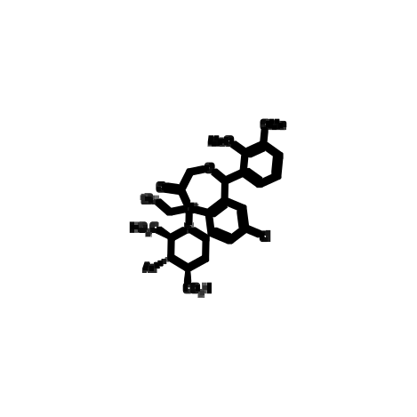 COc1cccc(C2OCC(=O)[N+](CC(C)(C)C)(N3CC[C@@H](C(=O)O)[C@H](C(C)=O)[C@H]3C(=O)O)c3ccc(Cl)cc32)c1OC